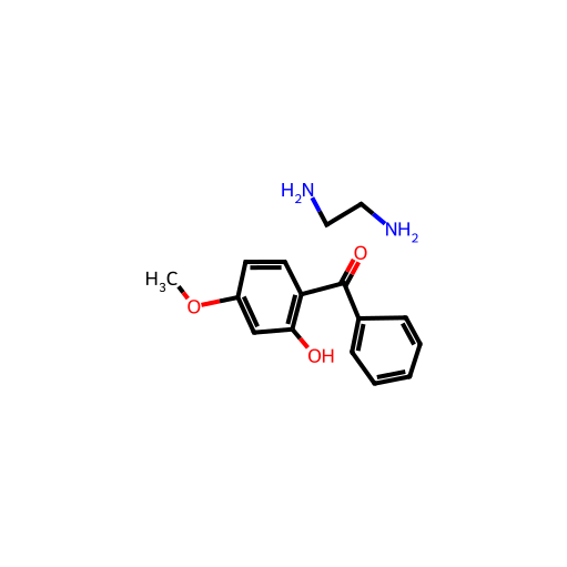 COc1ccc(C(=O)c2ccccc2)c(O)c1.NCCN